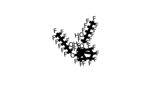 OC(F)(C(F)(F)OC12C(F)(F)C3(F)C(F)(F)C(F)(C1(F)F)C(F)(F)C(OC(F)(F)C(O)(F)C(F)(F)C(F)(F)C(F)(F)F)(C3(F)F)C2(F)F)C(F)(F)C(F)(F)C(F)(F)F